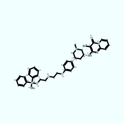 CN1C[C@H](Nc2nc3ccccn3c(=O)c2Br)C[C@H](c2ccc(OCCOCCO[Si](c3ccccc3)(c3ccccc3)C(C)(C)C)cc2)C1